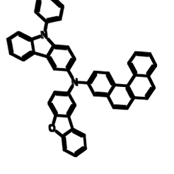 c1ccc(-n2c3ccccc3c3cc(N(c4ccc5c(ccc6ccc7ccccc7c65)c4)c4ccc5oc6ccccc6c5c4)ccc32)cc1